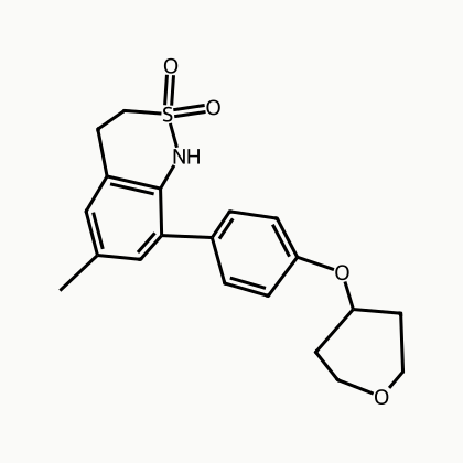 Cc1cc2c(c(-c3ccc(OC4CCOCC4)cc3)c1)NS(=O)(=O)CC2